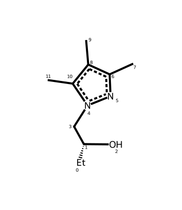 CC[C@@H](O)Cn1nc(C)c(C)c1C